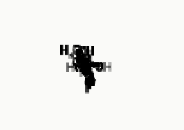 CC(O)CNC(=O)c1c(O)c2ncc(Cc3ccc(F)cc3)cc2n(CCCO)c1=O